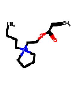 C=CC(=O)OCC[N+]1(CCCC)CCCC1